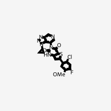 COc1cc(-c2cc3[nH]c(=O)n(-c4cncc5nnn(C6CC6)c45)c(=O)c3s2)c(Cl)cc1F